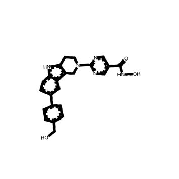 O=C(NO)c1cnc(N2CCc3[nH]c4ccc(-c5ccc(CO)cc5)cc4c3C2)nc1